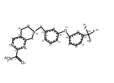 NC(=O)c1n[c]c2c(n1)CN(Cc1cccc(Oc3cccc(C(F)(F)F)c3)c1)CC2